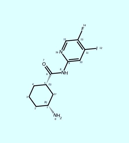 N[C@@H]1CCC[C@H](C(=O)Nc2cc(I)c(F)cn2)C1